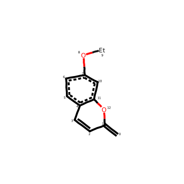 C=C1C=Cc2ccc(OCC)cc2O1